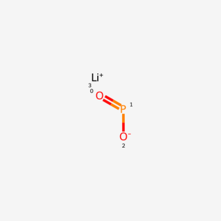 O=P[O-].[Li+]